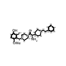 COc1ccc(O)c(F)c1CN1CCN(C(=O)[C@H](N)C2CCN(CCc3ccccc3)CC2)CC1